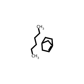 C1=C2CCC(C1)C2.CCCCCC